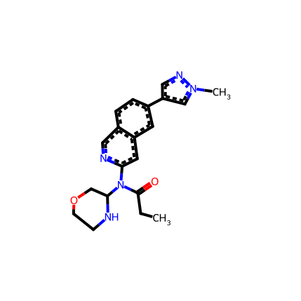 CCC(=O)N(c1cc2cc(-c3cnn(C)c3)ccc2cn1)C1COCCN1